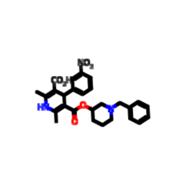 CC1=C(C(=O)O)C(c2cccc([N+](=O)[O-])c2)C(C(=O)OC2CCCN(Cc3ccccc3)C2)=C(C)N1